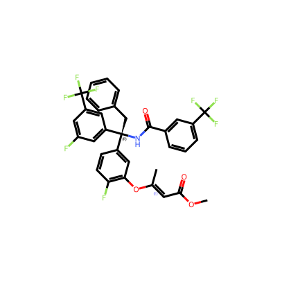 COC(=O)/C=C(\C)Oc1cc([C@@](Cc2ccccc2)(NC(=O)c2cccc(C(F)(F)F)c2)c2cc(F)cc(C(F)(F)F)c2)ccc1F